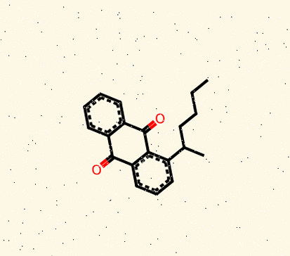 CCCCC(C)c1cccc2c1C(=O)c1ccccc1C2=O